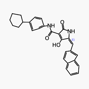 O=C1N/C(=C/c2ccc3ccccc3c2)C(O)=C1C(=O)Nc1ccc(C2CCCCC2)cc1